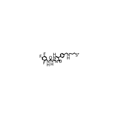 CSCCCNCc1ccc(-c2c[nH]c(NC(=O)Nc3cc(F)c(F)cc3F)nc2=O)cc1